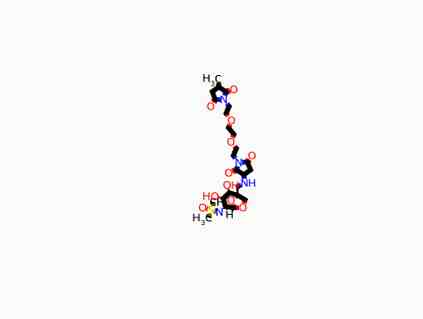 CC1CC(=O)N(CCOCCOCCN2C(=O)CC(NC[C@@]34CO[C@@H](O3)[C@H](N=S(C)(C)=O)[C@@H](O)[C@H]4O)C2=O)C1=O